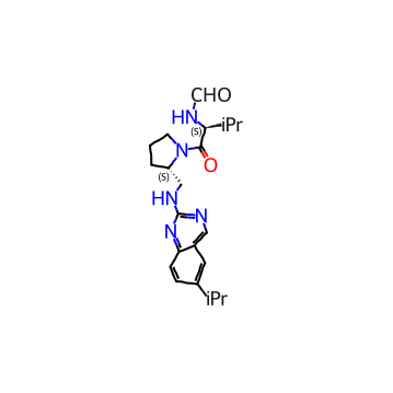 CC(C)c1ccc2nc(NC[C@@H]3CCCN3C(=O)[C@@H](NC=O)C(C)C)ncc2c1